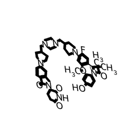 COc1cc(N2CCC(CN3CCN(CC4CCN(c5ccc6c(c5)CN(C5CCC(=O)NC5=O)C6=O)CC4)CC3)CC2)c(F)cc1[C@@H]1N(c2ccc(O)cc2)C(=O)C1(C)C